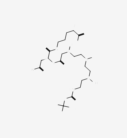 C[C@@H](CCCNC(=O)[C@H](CC(N)=O)NC(=O)CN(C)CCN(C)CCN(C)CCNC(=O)OC(C)(C)C)C(=O)O